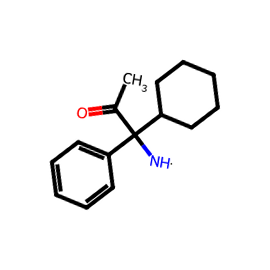 CC(=O)C([NH])(c1ccccc1)C1CCCCC1